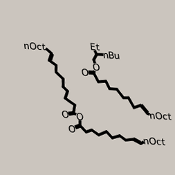 CCCCCCCCC=CCCCCCCCC(=O)OC(=O)CCCCCCCC=CCCCCCCCC.CCCCCCCCC=CCCCCCCCC(=O)OCC(CC)CCCC